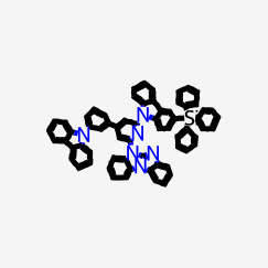 c1ccc([Si](c2ccccc2)(c2ccccc2)c2ccc3c(c2)c2ccccc2n3-c2cc(-c3cccc(-n4c5ccccc5c5ccccc54)c3)cc(-n3c4ccccc4n4c5ccccc5nc34)n2)cc1